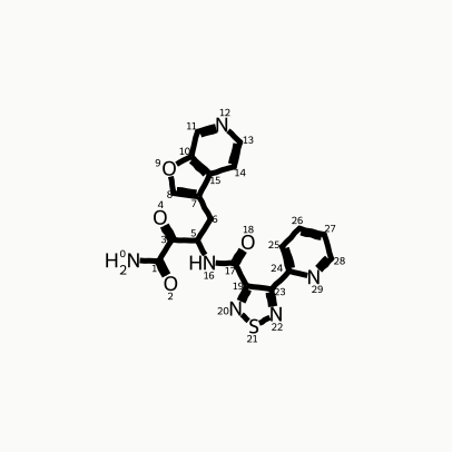 NC(=O)C(=O)C(Cc1coc2cnccc12)NC(=O)c1nsnc1-c1ccccn1